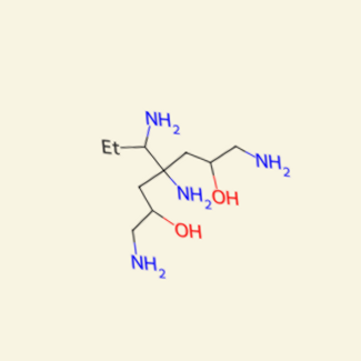 CCC(N)C(N)(CC(O)CN)CC(O)CN